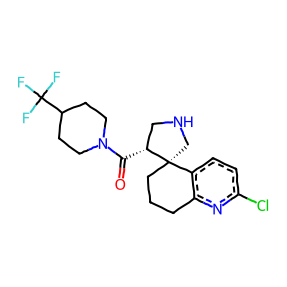 O=C([C@@H]1CNC[C@]12CCCc1nc(Cl)ccc12)N1CCC(C(F)(F)F)CC1